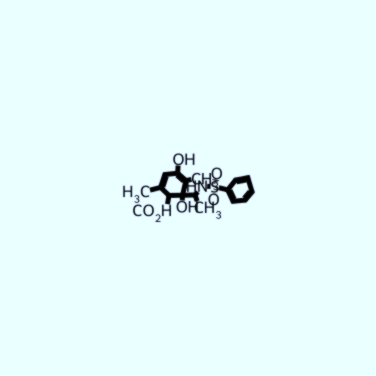 CC1=CC(O)=C(C)C(O)(C(C)NS(=O)(=O)c2ccccc2)C1C(=O)O